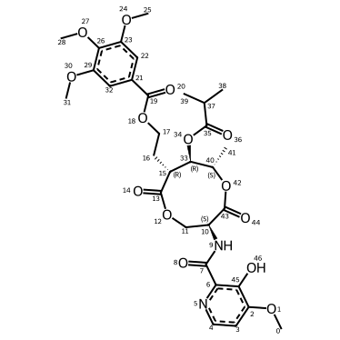 COc1ccnc(C(=O)N[C@H]2COC(=O)[C@H](CCOC(=O)c3cc(OC)c(OC)c(OC)c3)[C@@H](OC(=O)C(C)C)[C@H](C)OC2=O)c1O